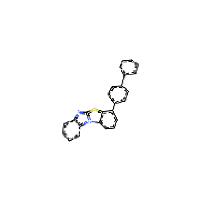 c1ccc(-c2ccc(-c3cccc4c3sc3nc5ccccc5n34)cc2)cc1